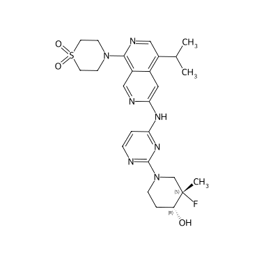 CC(C)c1cnc(N2CCS(=O)(=O)CC2)c2cnc(Nc3ccnc(N4CC[C@@H](O)[C@@](C)(F)C4)n3)cc12